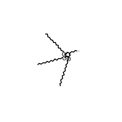 [CH2]CCCc1cc(OCCCCCCCCCCCCCC)c(OCCCCCCCCCCCCCC)c(OCCCCCCCCCCCCCC)c1